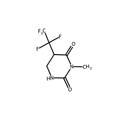 CN1C(=O)NCC(C(F)(F)C(F)(F)F)C1=O